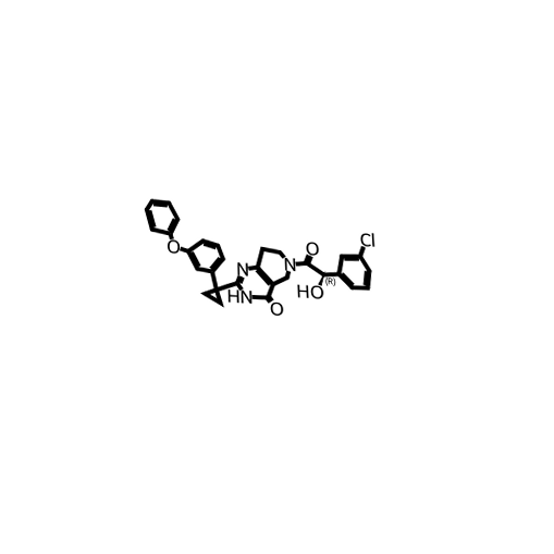 O=C([C@H](O)c1cccc(Cl)c1)N1CCc2nc(C3(c4cccc(Oc5ccccc5)c4)CC3)[nH]c(=O)c2C1